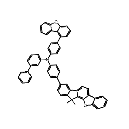 CC1(C)c2ccc(-c3ccc(N(c4ccc(-c5cccc6oc7ccccc7c56)cc4)c4cccc(-c5ccccc5)c4)cc3)cc2-c2ccc3c(oc4ccccc43)c21